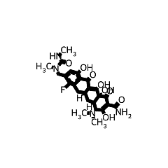 CNC(=O)N(C)Cc1cc(O)c2c(c1F)C[C@H]1C[C@H]3[C@H](N(C)C)C(O)=C(C(N)=O)C(=O)[C@@]3(O)C(O)=C1C2=O